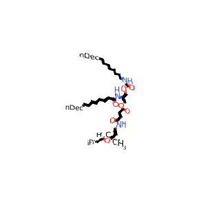 CCCCCCCCCCCCCCCCCCNC(=O)OCC(COC(=O)CCC(=O)NCCC(C)(C)OCCC(C)C)NC(=O)CCCCCCCCCCCCCCCCC